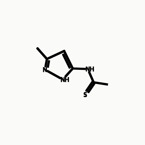 CC(=S)Nc1cc(C)n[nH]1